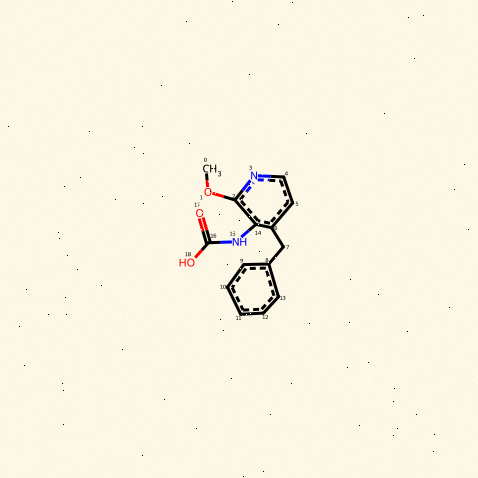 COc1nccc(Cc2ccccc2)c1NC(=O)O